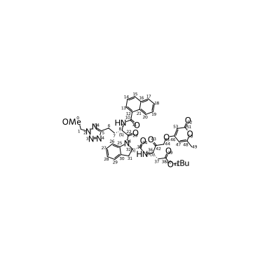 COCn1nnc(CC[C@H](NC(=O)c2cccc3ccccc23)C(=O)N2c3ccccc3C[C@H]2C(=O)N[C@@H](CC(=O)OC(C)(C)C)C(=O)COc2cc(C)oc(=O)c2)n1